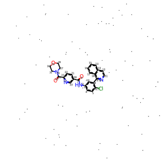 O=C(Nc1ccc(Cl)c(-c2nccc3ccccc23)c1)c1ccc(C(=O)N2CCOCC2)nc1